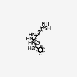 N=C(S)CCSCC(=N)SC(=N)NC(=O)[C@@H](O)c1ccccc1